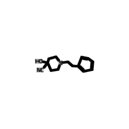 N#CC1(O)CCN(CCc2ccccc2)CC1